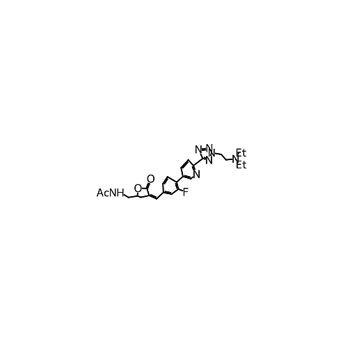 CCN(CC)CCn1nnc(-c2ccc(-c3ccc(/C=C4/CC(CNC(C)=O)OC4=O)cc3F)cn2)n1